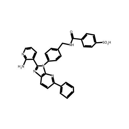 Nc1ncccc1-c1nc2ccc(-c3ccccc3)nc2n1-c1ccc(CNC(=O)c2ccc(S(=O)(=O)O)cc2)cc1